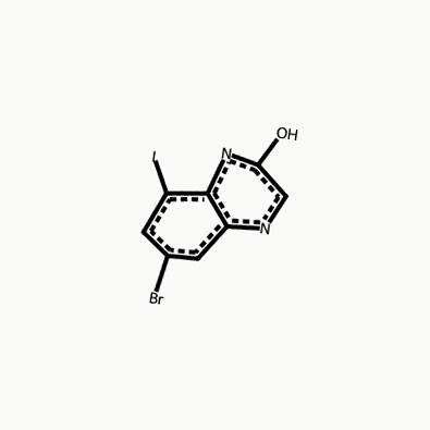 Oc1cnc2cc(Br)cc(I)c2n1